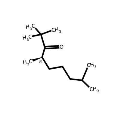 CC(C)CCC[C@@H](C)C(=O)C(C)(C)C